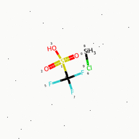 O=S(=O)(O)C(F)(F)F.[SiH3]Cl